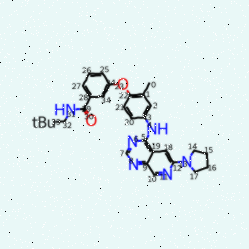 Cc1cc(Nc2ncnc3cnc(N4CCCC4)cc23)ccc1Oc1cccc(C(=O)NCC(C)(C)C)c1